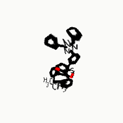 CC1(C)c2ccccc2C2(c3ccccc3Sc3c(-c4cccc(-c5nc(-c6ccccc6)nc(-c6ccccc6)n5)c4)cccc32)c2ccccc21